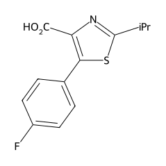 CC(C)c1nc(C(=O)O)c(-c2ccc(F)cc2)s1